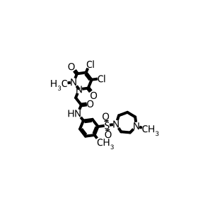 Cc1ccc(NC(=O)Cn2c(=O)c(Cl)c(Cl)c(=O)n2C)cc1S(=O)(=O)N1CCCN(C)CC1